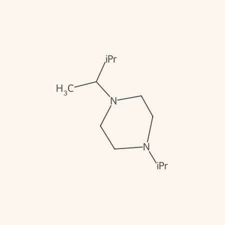 CC(C)C(C)N1CCN(C(C)C)CC1